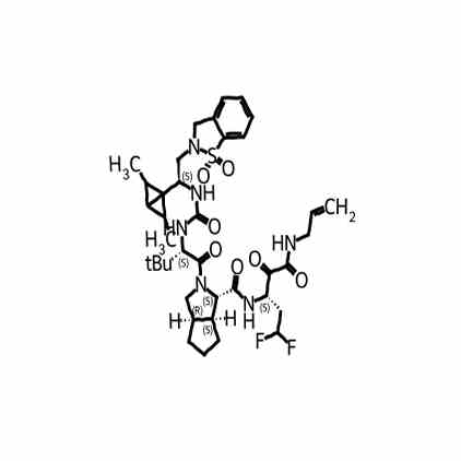 C=CCNC(=O)C(=O)[C@H](CC(F)F)NC(=O)[C@@H]1[C@H]2CCC[C@H]2CN1C(=O)[C@@H](NC(=O)N[C@H](CN1Cc2ccccc2S1(=O)=O)C12C(C)C1C2C)C(C)(C)C